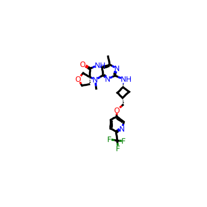 Cc1nc(N[C@H]2C[C@@H](COc3ccc(C(F)(F)F)nc3)C2)nc2c1NC(=O)[C@@]1(CCOC1)N2C